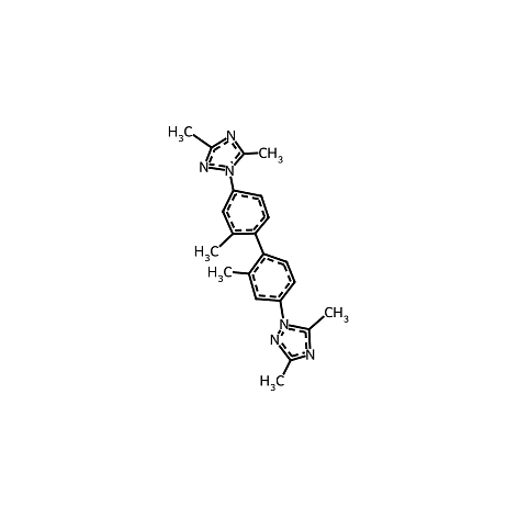 Cc1nc(C)n(-c2ccc(-c3ccc(-n4nc(C)nc4C)cc3C)c(C)c2)n1